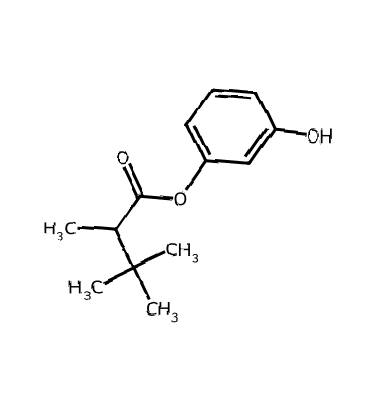 CC(C(=O)Oc1cccc(O)c1)C(C)(C)C